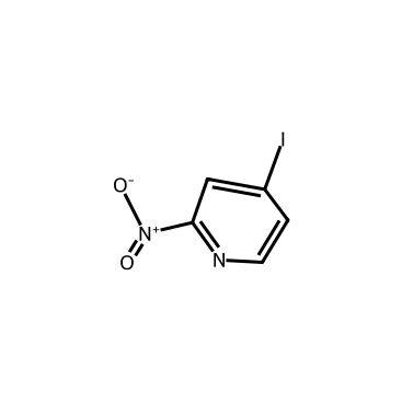 O=[N+]([O-])c1cc(I)ccn1